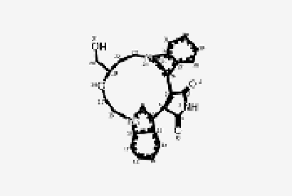 O=C1NC(=O)C2=C1c1cn(c3ccccc13)CCOC(CO)CCn1cc2c2ccccc21